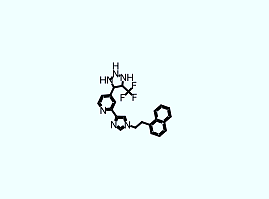 FC(F)(F)C1NNNC1c1ccnc(-c2cn(CCc3cccc4ccccc34)cn2)c1